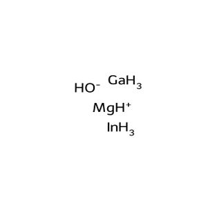 [GaH3].[InH3].[MgH+].[OH-]